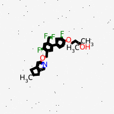 CC1Cc2cnc(OCc3cc(-c4ccc(OCCC(C)(C)O)c(F)c4)c(C(F)F)cc3F)cc2C1